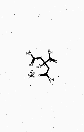 O=C(O)CC(O)(CC(=O)O)C(=O)O.[Fe].[MgH2]